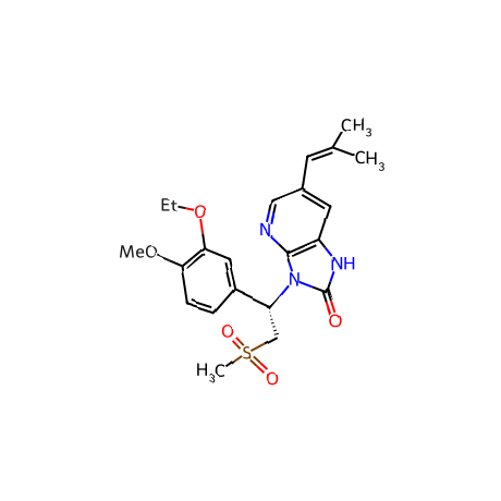 CCOc1cc([C@@H](CS(C)(=O)=O)n2c(=O)[nH]c3cc(C=C(C)C)cnc32)ccc1OC